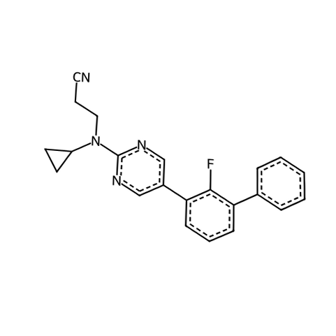 N#CCCN(c1ncc(-c2cccc(-c3ccccc3)c2F)cn1)C1CC1